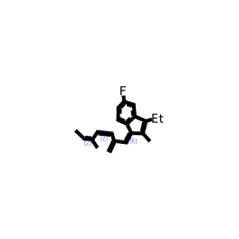 C=C(/C=C\C(C)=C/C)/C=C1/C(C)=C(CC)c2cc(F)ccc21